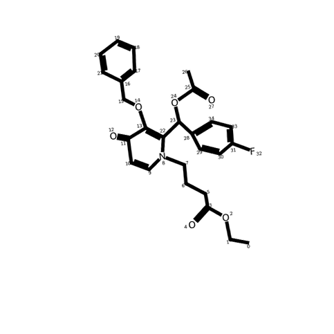 CCOC(=O)CCCn1ccc(=O)c(OCc2ccccc2)c1C(OC(C)=O)c1ccc(F)cc1